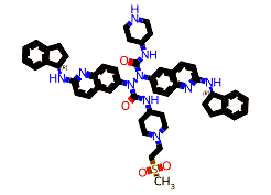 CS(=O)(=O)CCN1CCC(NC(=O)N(c2ccc3nc(N[C@@H]4CCc5ccccc54)ccc3c2)N(C(=O)NC2CCNCC2)c2ccc3nc(N[C@@H]4CCc5ccccc54)ccc3c2)CC1